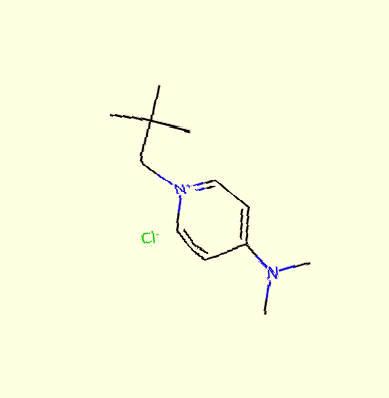 CN(C)c1cc[n+](CC(C)(C)C)cc1.[Cl-]